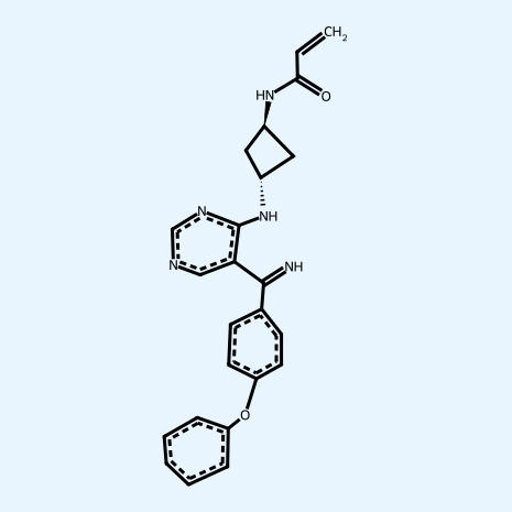 C=CC(=O)N[C@H]1C[C@H](Nc2ncncc2C(=N)c2ccc(Oc3ccccc3)cc2)C1